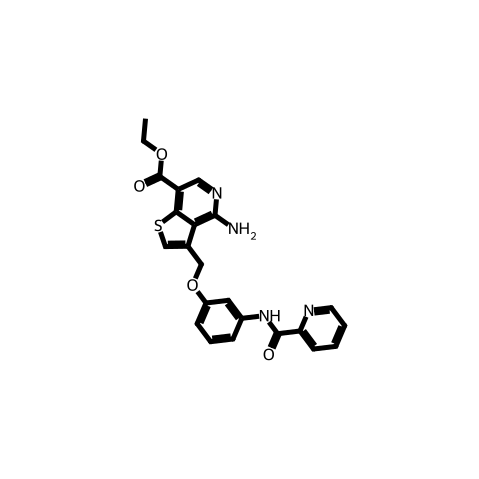 CCOC(=O)c1cnc(N)c2c(COc3cccc(NC(=O)c4ccccn4)c3)csc12